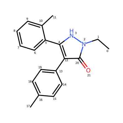 CCn1[nH]c(-c2ccccc2C)c(-c2ccc(C)cc2)c1=O